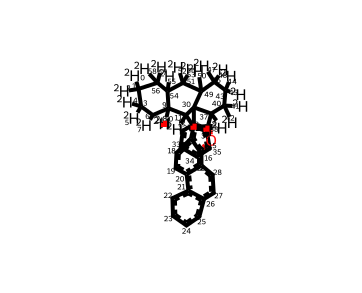 [2H]C1([2H])C([2H])([2H])C([2H])([2H])C2([2H])C([2H])(c3coc4c3ccc3c5ccccc5ccc34)C3(c4ccccc4)C([2H])([2H])C([2H])([2H])C([2H])([2H])C([2H])([2H])C3([2H])C([2H])([2H])C2([2H])C1([2H])[2H]